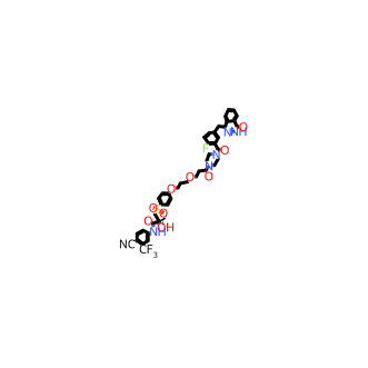 C[C@](O)(CS(=O)(=O)c1ccc(OCCCOCCC(=O)N2CCN(C(=O)c3cc(Cc4n[nH]c(=O)c5ccccc45)ccc3F)CC2)cc1)C(=O)Nc1ccc(C#N)c(C(F)(F)F)c1